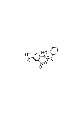 CC(=NNc1ccc([N+](=O)[O-])cc1[N+](=O)[O-])c1ccccc1O